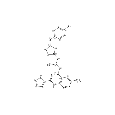 Cc1ccc(NC(=O)c2cccs2)c(OCC(O)CN2CCC(Oc3ccc(F)cc3)C2)c1